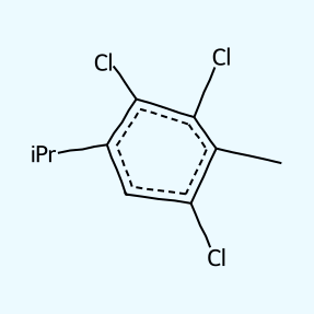 Cc1c(Cl)cc(C(C)C)c(Cl)c1Cl